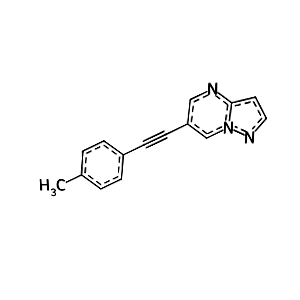 Cc1ccc(C#Cc2cnc3ccnn3c2)cc1